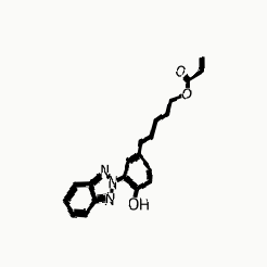 C=CC(=O)OCCCCCc1ccc(O)c(-n2nc3ccccc3n2)c1